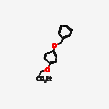 CCOC(=O)COc1ccc(OCc2ccccc2)cc1